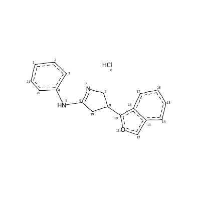 Cl.c1ccc(NC2=NCC(c3occ4ccccc34)C2)cc1